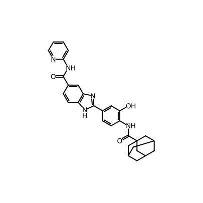 O=C(Nc1ccccn1)c1ccc2[nH]c(-c3ccc(NC(=O)C45CC6CC(CC(C6)C4)C5)c(O)c3)nc2c1